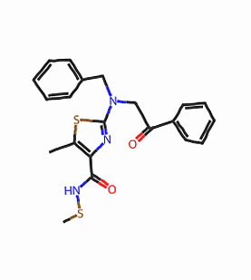 CSNC(=O)c1nc(N(CC(=O)c2ccccc2)Cc2ccccc2)sc1C